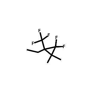 CCC1(C(F)(F)F)C(C)(C)C1(F)F